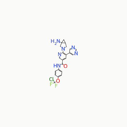 NC12CC1CN(c1ncc(C(=O)Nc3ccc(OC(F)(F)Cl)cc3)cc1-c1cncnc1)C2